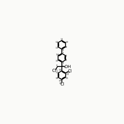 OC(CCl)(c1ccc(-c2ccccc2)cc1)c1ccc(Cl)cc1Cl